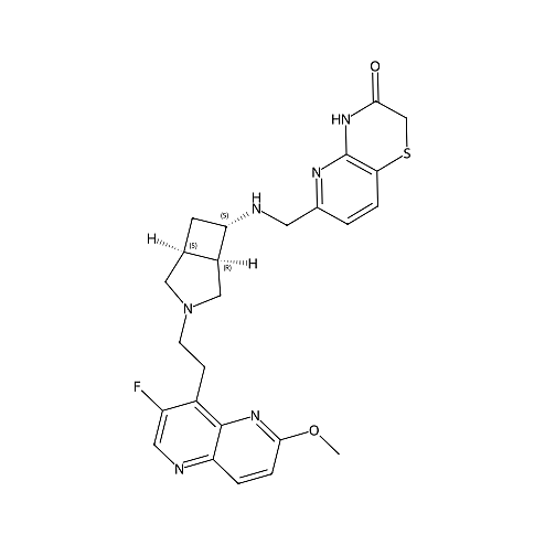 COc1ccc2ncc(F)c(CCN3C[C@H]4C[C@H](NCc5ccc6c(n5)NC(=O)CS6)[C@H]4C3)c2n1